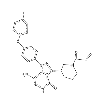 C=CC(=O)N1CCC[C@H](c2nn(-c3ccc(Oc4ccc(F)cc4)cc3)c3c(N)n[nH]c(=O)c23)C1